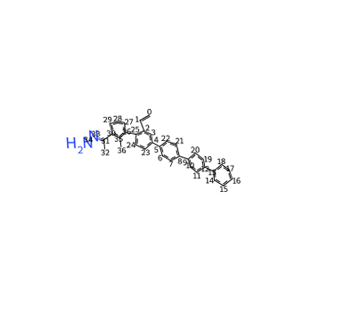 C=Cc1cc(-c2ccc(-c3ccc(-c4ccccc4)cc3)cc2)ccc1-c1cccc(/C(C)=N/N)c1C